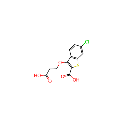 O=C(O)CCOc1c(C(=O)O)sc2cc(Cl)ccc12